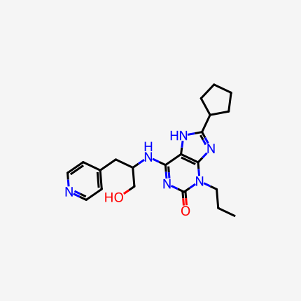 CCCn1c(=O)nc(NC(CO)Cc2ccncc2)c2[nH]c(C3CCCC3)nc21